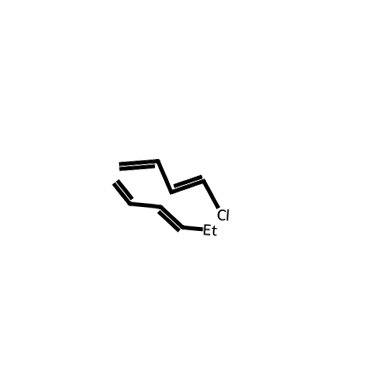 C=CC=CCC.C=CC=CCl